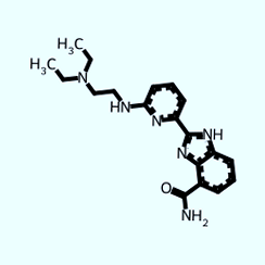 CCN(CC)CCNc1cccc(-c2nc3c(C(N)=O)cccc3[nH]2)n1